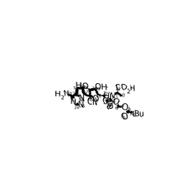 C[C@H](NP(=O)(OCOC(=O)C(C)(C)C)OC[C@H]1O[C@@](C#N)(c2ccc3c(N)ncnn23)[C@H](O)[C@@H]1O)C(=O)O